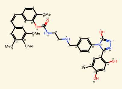 COc1ccc(/C=C\c2cc(OC)c(OC)c(OC)c2)cc1OC(=O)NCCNCc1ccc(-n2c(O)nnc2-c2cc(C(C)C)c(O)cc2O)cc1